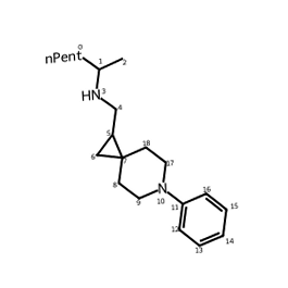 CCCCCC(C)NCC1CC12CCN(c1ccccc1)CC2